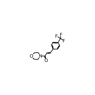 O=C(C=Cc1ccc(C(F)(F)F)cc1)N1CCOCC1